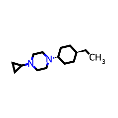 CC[C@H]1CC[C@H](N2CCN(C3CC3)CC2)CC1